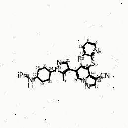 Cc1c(-c2cc(Sc3ncccc3F)c3c(C#N)cnn3c2)cnn1C1CCC(NC(C)C)CC1